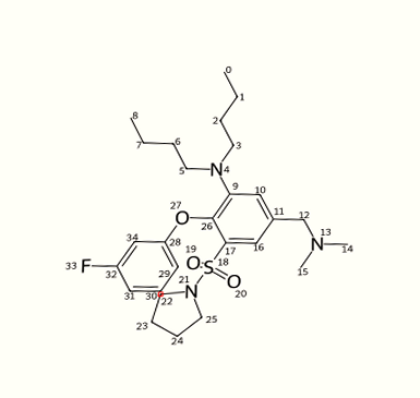 CCCCN(CCCC)c1cc(CN(C)C)cc(S(=O)(=O)N2CCCC2)c1Oc1cccc(F)c1